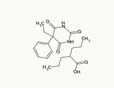 CCC1(c2ccccc2)C(=O)NC(=O)NC1=O.CCCC(CCC)C(=O)O